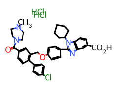 CN1CCN(C(=O)c2ccc(-c3ccc(Cl)cc3)c(COc3ccc(-c4nc5cc(C(=O)O)ccc5n4C4CCCCC4)cc3)c2)CC1.Cl.Cl